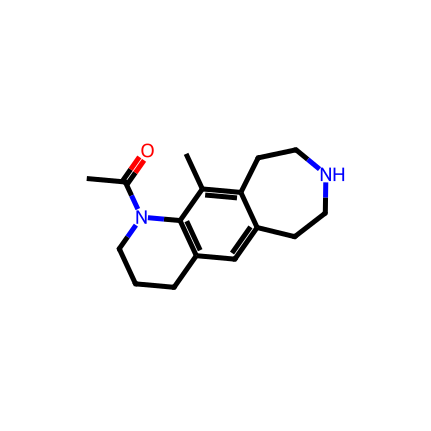 CC(=O)N1CCCc2cc3c(c(C)c21)CCNCC3